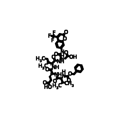 CC[C@H](C)[C@H](NC(=O)[C@H](CCC(=O)O)NC(=O)[C@@H](NC(=O)OCc1ccccc1)C(C)C)C(=O)N[C@@H](CC(=O)O)C(=O)Nc1ccc2c(C(F)(F)F)cc(=O)oc2c1